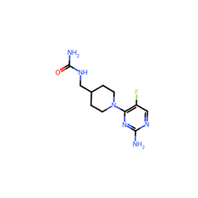 NC(=O)NCC1CCN(c2nc(N)ncc2F)CC1